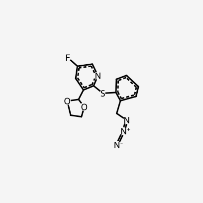 [N-]=[N+]=NCc1ccccc1Sc1ncc(F)cc1C1OCCO1